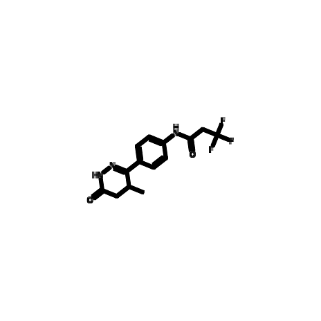 CC1CC(=O)NN=C1c1ccc(NC(=O)CC(F)(F)F)cc1